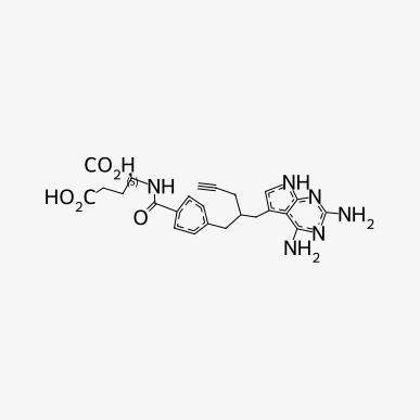 C#CCC(Cc1ccc(C(=O)N[C@@H](CCC(=O)O)C(=O)O)cc1)Cc1c[nH]c2nc(N)nc(N)c12